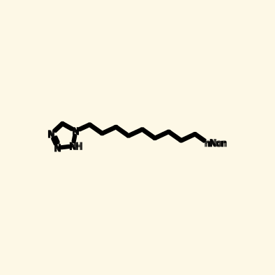 CCCCCCCCCCCCCCCCCCN1CN=NN1